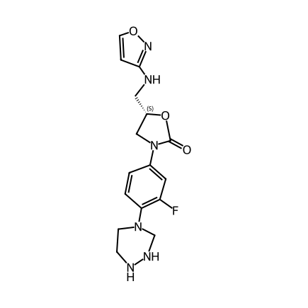 O=C1O[C@@H](CNc2ccon2)CN1c1ccc(N2CCNNC2)c(F)c1